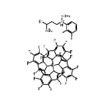 CCCCCC[PH+](CCC(CC)CCCC)c1cccc(F)c1F.FC1=C(F)C([B-](C2C(F)=C(F)c3c(F)c(F)c(F)c(F)c32)(C2C(F)=C(F)c3c(F)c(F)c(F)c(F)c32)C2C(F)=C(F)c3c(F)c(F)c(F)c(F)c32)c2c(F)c(F)c(F)c(F)c21